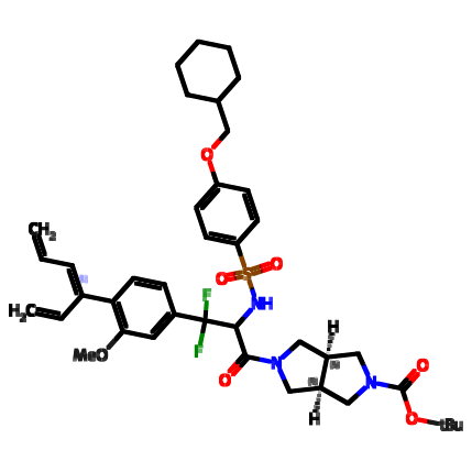 C=C/C=C(\C=C)c1ccc(C(F)(F)C(NS(=O)(=O)c2ccc(OCC3CCCCC3)cc2)C(=O)N2C[C@H]3CN(C(=O)OC(C)(C)C)C[C@H]3C2)cc1OC